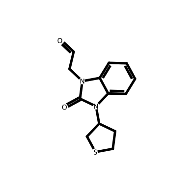 O=CCn1c(=O)n(C2CCSC2)c2ccccc21